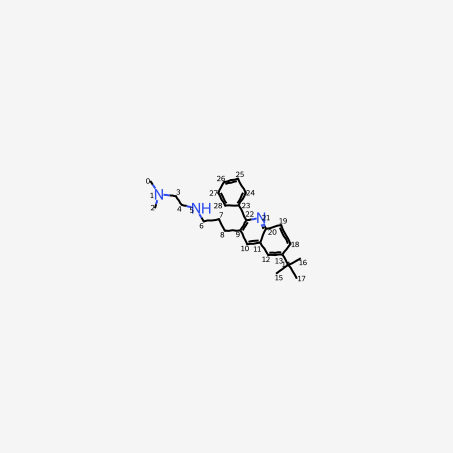 CN(C)CCNCCCc1cc2cc(C(C)(C)C)ccc2nc1-c1ccccc1